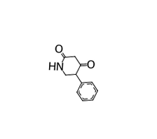 O=C1CC(=O)C(c2ccccc2)CN1